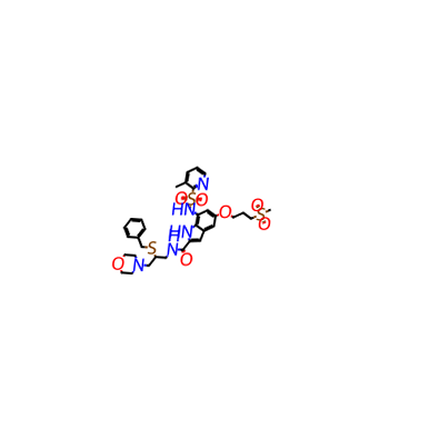 Cc1cccnc1S(=O)(=O)Nc1cc(OCCCS(C)(=O)=O)cc2cc(C(=O)NCC(CN3CCOCC3)SCc3ccccc3)[nH]c12